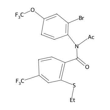 CCSc1cc(C(F)(F)F)ccc1C(=O)N(C(C)=O)c1ccc(OC(F)(F)F)cc1Br